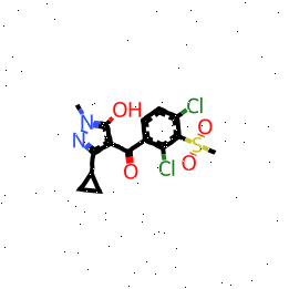 Cn1nc(C2CC2)c(C(=O)c2ccc(Cl)c(S(C)(=O)=O)c2Cl)c1O